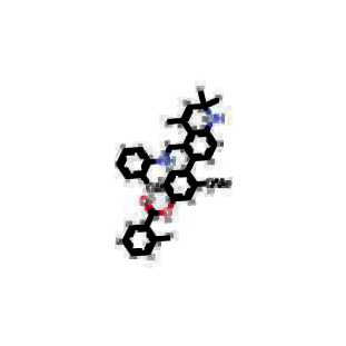 COc1ccccc1NCc1c(-c2ccc(OC(=O)c3ccccc3C)cc2OC)ccc2c1C(C)=CC(C)(C)N2